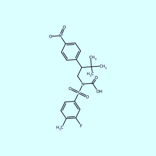 Cc1ccc(S(=O)(=O)N(CC(c2ccc([N+](=O)[O-])cc2)C(C)(C)C)C(=O)O)cc1F